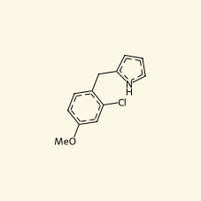 COc1ccc(Cc2ccc[nH]2)c(Cl)c1